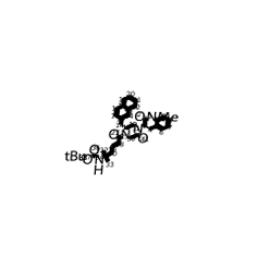 CNC(=O)[C@@H](Cc1ccccc1)N1C[C@@H](Cc2ccc3ccccc3c2)N(C(=O)C=CCC(C)(C)NC(=O)OC(C)(C)C)CC1=O